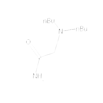 CCCCN(CCCC)CC(N)=O